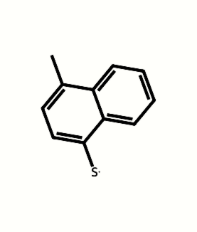 Cc1ccc([S])c2ccccc12